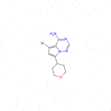 Nc1ncnn2c(C3CCOCC3)cc(Br)c12